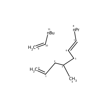 C=CCC(C)CC=CCCC.C=CCCCC